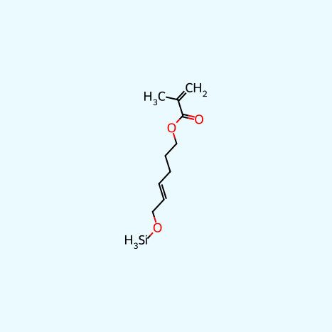 C=C(C)C(=O)OCCCC=CCO[SiH3]